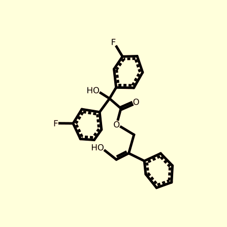 O=C(OCC(=CO)c1ccccc1)C(O)(c1cccc(F)c1)c1cccc(F)c1